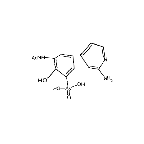 CC(=O)Nc1cccc([As](=O)(O)O)c1O.Nc1ccccn1